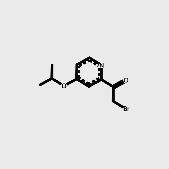 CC(C)Oc1ccnc(C(=O)CBr)c1